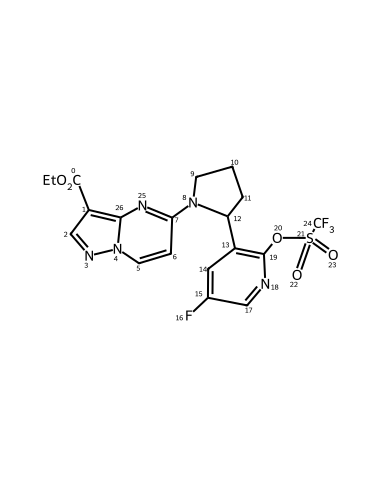 CCOC(=O)c1cnn2ccc(N3CCCC3c3cc(F)cnc3OS(=O)(=O)C(F)(F)F)nc12